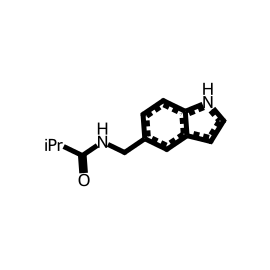 CC(C)C(=O)NCc1ccc2[nH]ccc2c1